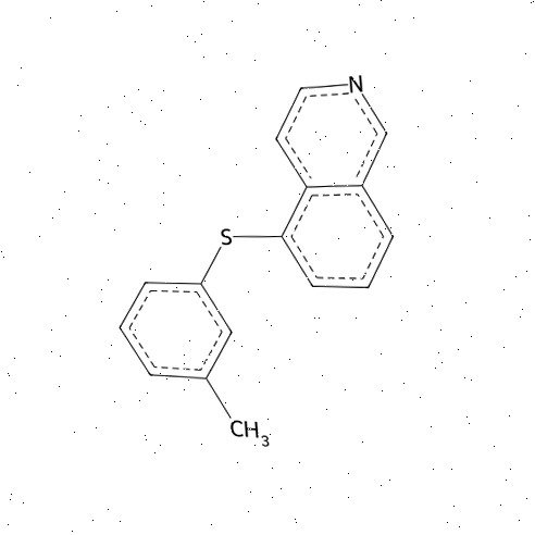 Cc1cccc(Sc2cccc3cnccc23)c1